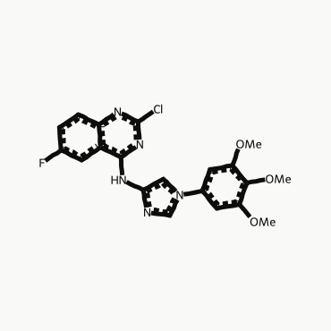 COc1cc(-n2cnc(Nc3nc(Cl)nc4ccc(F)cc34)c2)cc(OC)c1OC